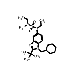 CCN(C)S(=O)(=O)N(CC)c1ccc2c(c1)nc(C(C)(C)C)n2CC1CCCCC1